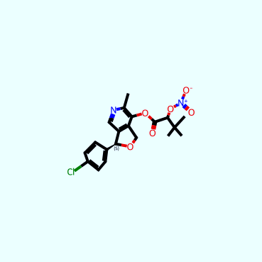 Cc1ncc2c(c1OC(=O)C(O[N+](=O)[O-])C(C)(C)C)CO[C@H]2c1ccc(Cl)cc1